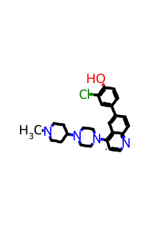 CN1CCC(N2CCN(c3[c]cnc4ccc(-c5ccc(O)c(Cl)c5)cc34)CC2)CC1